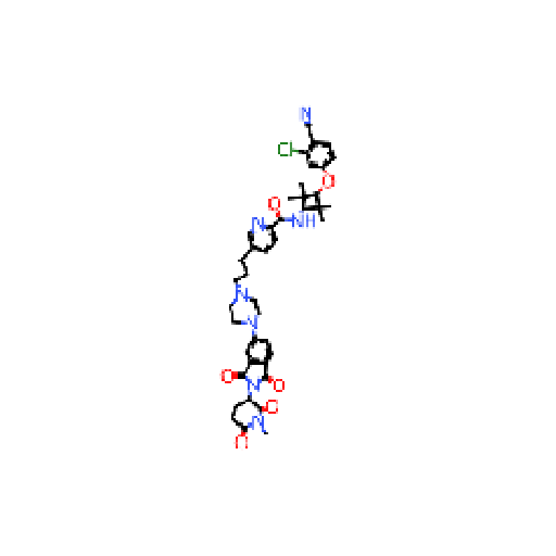 CN1C(=O)CCC(N2C(=O)c3ccc(N4CCN(CCCc5ccc(C(=O)N[C@H]6C(C)(C)[C@H](Oc7ccc(C#N)c(Cl)c7)C6(C)C)nc5)CC4)cc3C2=O)C1=O